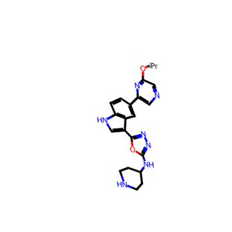 CC(C)Oc1cncc(-c2ccc3[nH]cc(-c4nnc(NC5CCNCC5)o4)c3c2)n1